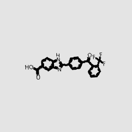 O=C(O)c1ccc2[nH]c(-c3ccc(C(=O)c4ccccc4C(F)(F)F)cc3)nc2c1